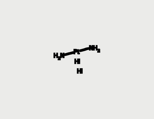 I.I.[NH2][Pt][NH2]